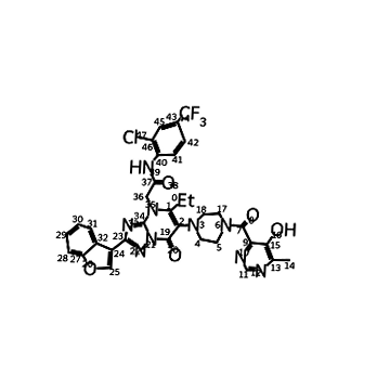 CCc1c(N2CCN(C(=O)c3ncnc(C)c3O)CC2)c(=O)n2nc(-c3coc4ccccc34)nc2n1CC(=O)Nc1ccc(C(F)(F)F)cc1Cl